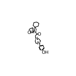 O=C(CN1CCN(c2ccc(O)cc2)CC1)NCC1(N2CCOCC2)CCCCC1